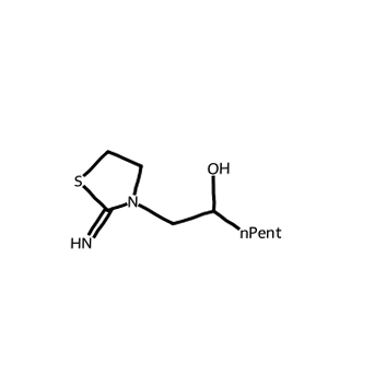 CCCCCC(O)CN1CCSC1=N